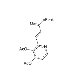 CCCCCC(=O)C=Cc1nccc(OC(C)=O)c1OC(C)=O